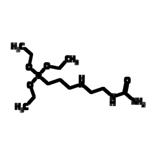 CCO[Si](CCCNCCNC(N)=O)(OCC)OCC